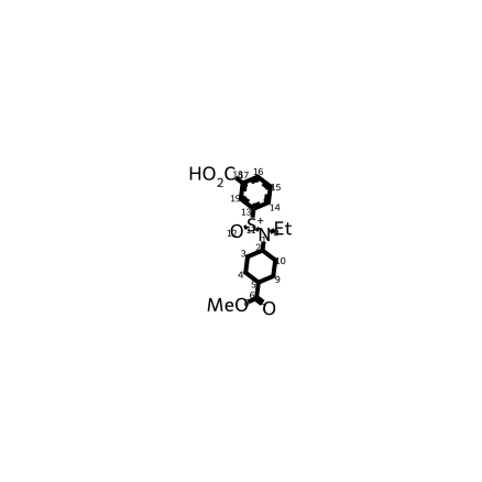 CCN(C1CCC(C(=O)OC)CC1)[S+]([O-])c1cccc(C(=O)O)c1